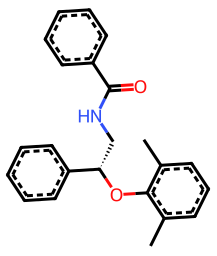 Cc1cccc(C)c1O[C@@H](CNC(=O)c1ccccc1)c1ccccc1